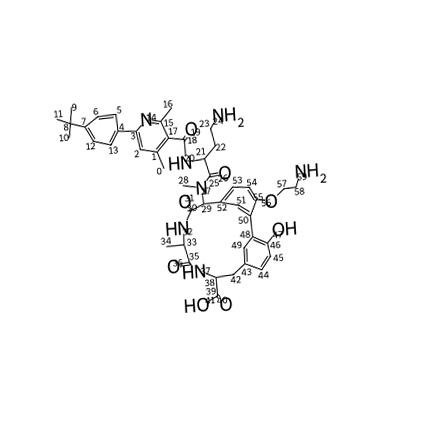 Cc1cc(-c2ccc(C(C)(C)C)cc2)nc(C)c1C(=O)NC(CCN)C(=O)N(C)C1C(=O)NC(C)C(=O)NC(C(=O)O)Cc2ccc(O)c(c2)-c2cc1ccc2OCCN